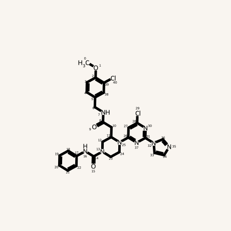 COc1ccc(CNC(=O)CC2CN(C(=O)Nc3ccccc3)CCN2c2cc(Cl)nc(-n3ccnc3)n2)cc1Cl